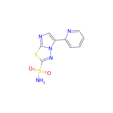 NS(=O)(=O)c1nn2c(-c3ccccn3)cnc2s1